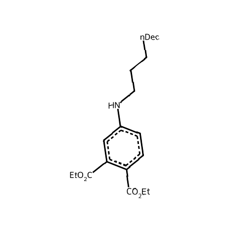 CCCCCCCCCCCCCNc1ccc(C(=O)OCC)c(C(=O)OCC)c1